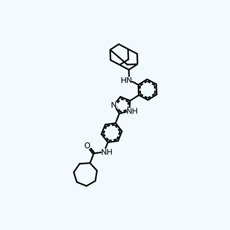 O=C(Nc1ccc(-c2ncc(-c3ccccc3NC3C4CC5CC(C4)CC3C5)[nH]2)cc1)C1CCCCCC1